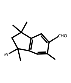 Cc1cc2c(cc1C=O)C(C)(C)CC2(C)C(C)C